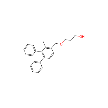 Cc1c(COCCCO)ccc(-c2ccccc2)c1-c1ccccc1